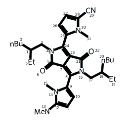 CCCCC(CC)CN1C(=O)C2=C(c3ccc(NC)n3C)N(CC(CC)CCCC)C(=O)C2=C1c1ccc(C#N)n1C